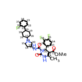 COC(=O)C1=C(C)NC(=O)N(C(=O)N[C@@H]2CCN(C3CCC(c4ccccc4F)CC3)C2)[C@H]1c1ccc(F)c(F)c1